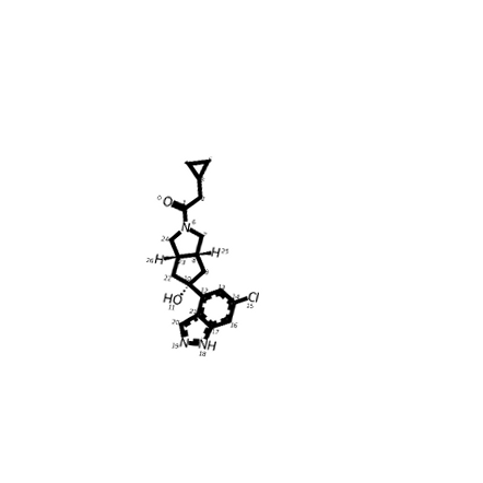 O=C(CC1CC1)N1C[C@@H]2C[C@@](O)(c3cc(Cl)cc4[nH]ncc34)C[C@@H]2C1